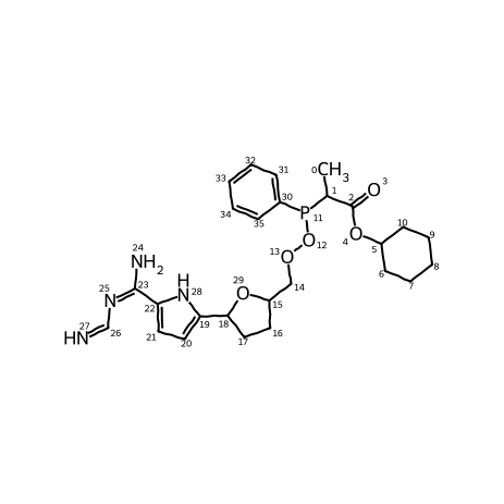 CC(C(=O)OC1CCCCC1)P(OOCC1CCC(c2ccc(/C(N)=N\C=N)[nH]2)O1)c1ccccc1